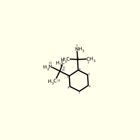 CC(C)(N)C1CCCCC1C(C)(C)N